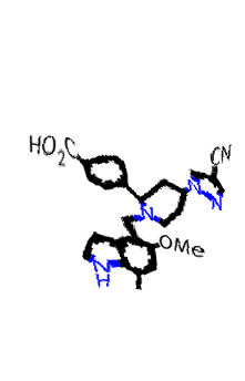 COc1cc(C)c2[nH]ccc2c1CN1CCC(n2cc(C#N)cn2)CC1c1ccc(C(=O)O)cc1